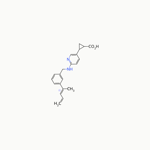 C=C/C=C(\C)c1cccc(CNc2ccc(C3CC3C(=O)O)cn2)c1